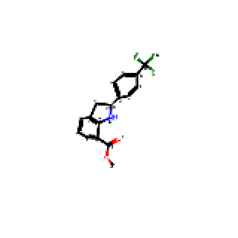 COC(=O)c1cccc2c1N[C@H](c1ccc(C(F)(F)F)cc1)C2